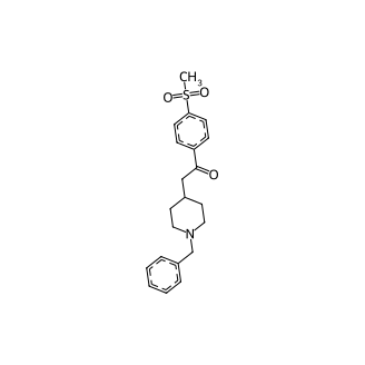 CS(=O)(=O)c1ccc(C(=O)CC2CCN(Cc3ccccc3)CC2)cc1